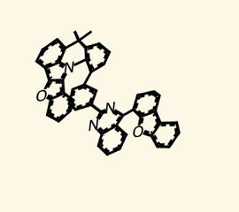 CC1(C)c2cccc(-c3cccc(-c4nc(-c5cccc6c5oc5ccccc56)c5ccccc5n4)c3)c2-n2c3c1cccc3c1oc3ccccc3c12